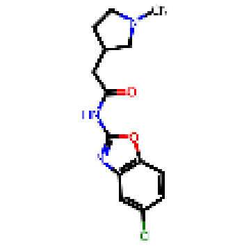 N#CN1CCC(CC(=O)Nc2nc3cc(Cl)ccc3o2)C1